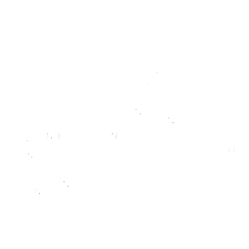 CCCCc1nc2c(N)nc3ccc(N4CCN(C(=O)[C@H](CS(=O)(=O)O)NC(=O)OC(C)(C)C)CC4)cc3c2[nH]1